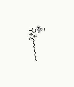 CCCCCCCCCCCC(=O)NNC(COS(=O)(=O)O)C(C)C